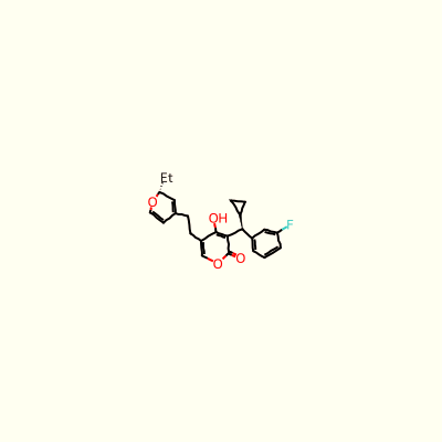 CC[C@@H]1C=C(CCc2coc(=O)c([C@H](c3cccc(F)c3)C3CC3)c2O)C=CO1